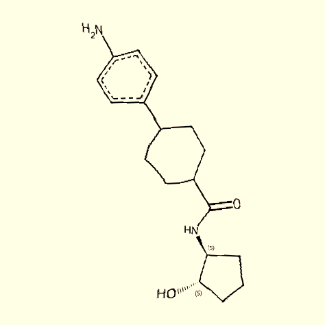 Nc1ccc(C2CCC(C(=O)N[C@H]3CCC[C@@H]3O)CC2)cc1